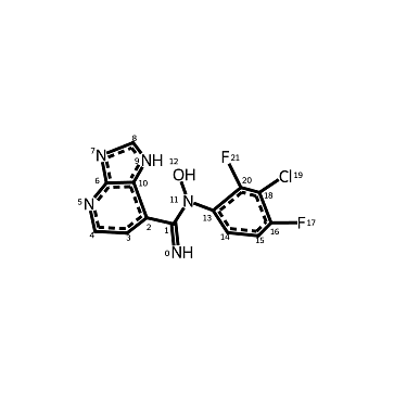 N=C(c1ccnc2nc[nH]c12)N(O)c1ccc(F)c(Cl)c1F